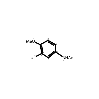 COc1ccc(NC(C)=O)cc1F